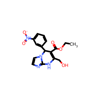 CCOC(=O)C1=C(CO)Nc2nccn2C1c1cccc([N+](=O)[O-])c1